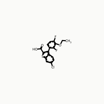 CCOc1c(F)ccc(-c2c(C(=O)O)sc3cc(Cl)ccc23)c1F